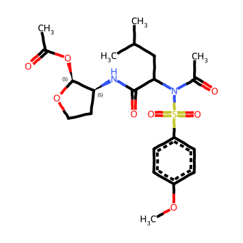 COc1ccc(S(=O)(=O)N(C(C)=O)C(CC(C)C)C(=O)N[C@H]2CCO[C@H]2OC(C)=O)cc1